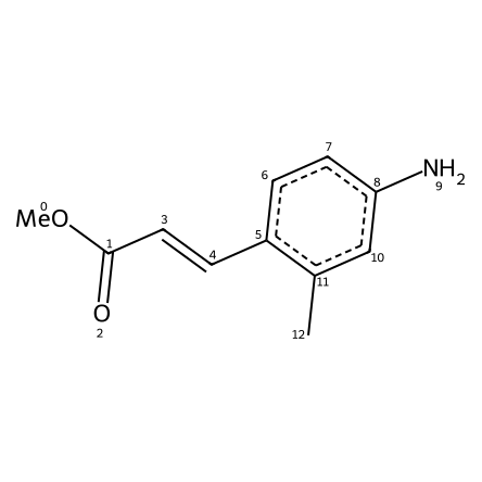 COC(=O)C=Cc1ccc(N)cc1C